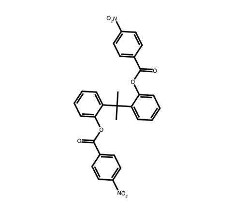 CC(C)(c1ccccc1OC(=O)c1ccc([N+](=O)[O-])cc1)c1ccccc1OC(=O)c1ccc([N+](=O)[O-])cc1